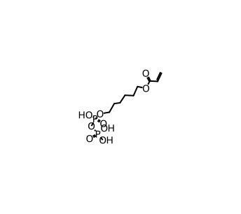 C=CC(=O)OCCCCCCOP(=O)(O)OP(=O)(O)O